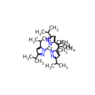 C.CC(C)c1cc(C(C)C)[n]([Cr]([n]2nc(C(C)C)cc2C(C)C)[n]2nc(C(C)C)cc2C(C)C)n1